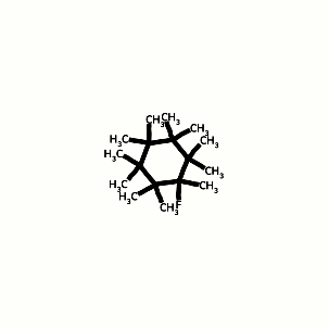 CC1(C)C(C)(C)C(C)(C)C(C)(F)C(C)(C)C1(C)C